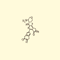 N[C@H]1COCC[C@H]1Nc1nc(-c2cc3n(c2)CC(=O)NC3)c2c(c1F)CNC2=O